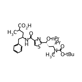 CCCO[C@H](C[C@H](C(C)C)N(C)C(=O)OC(C)(C)C)c1nc(C(=O)NC(Cc2ccccc2)CC(C)C(=O)O)cs1